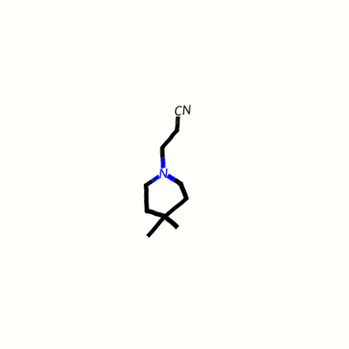 CC1(C)CCN(CCC#N)CC1